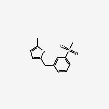 Cc1ccc(Cc2cccc(S(C)(=O)=O)c2)s1